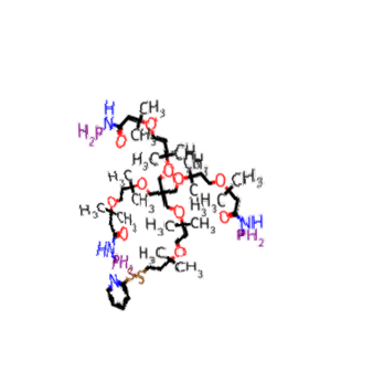 CC(C)(CCSSc1ccccn1)OCCC(C)(C)OCC(COC(C)(C)CCOC(C)(C)CC(=O)NP)(COC(C)(C)CCOC(C)(C)CC(=O)NP)COC(C)(C)CCOC(C)(C)CC(=O)NP